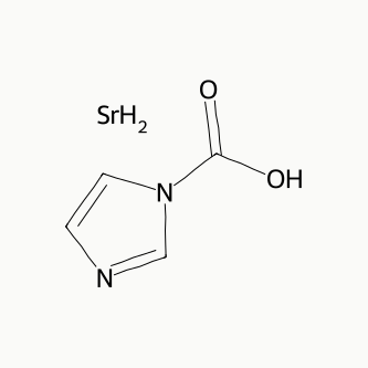 O=C(O)n1ccnc1.[SrH2]